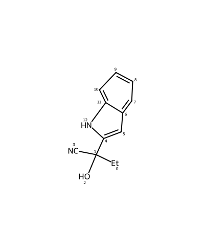 CCC(O)(C#N)c1cc2ccccc2[nH]1